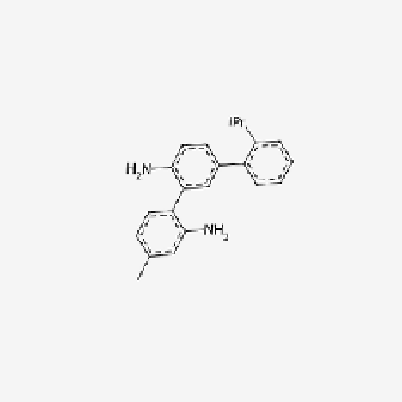 Cc1ccc(-c2cc(-c3ccccc3C(C)C)ccc2N)c(N)c1